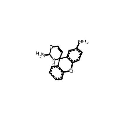 Nc1ccc2c(c1)C1(C=COC(N)N1)c1ccccc1O2